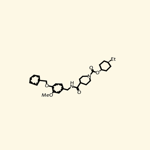 CC[C@H]1CC[C@@H](OC(=O)N2CCC(C(=O)NCc3ccc(OCc4ccccc4)c(OC)c3)CC2)CC1